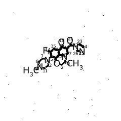 C[C@H]1COc2c(N3CCN(C)CC3)c(F)cc3c(=O)c(C(=O)n4ccnc4)cn1c23